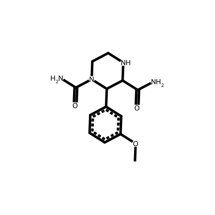 COc1cccc(C2C(C(N)=O)NCCN2C(N)=O)c1